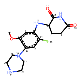 COc1cc(NC2CCC(=O)NC2=O)c(F)cc1N1CCNCC1